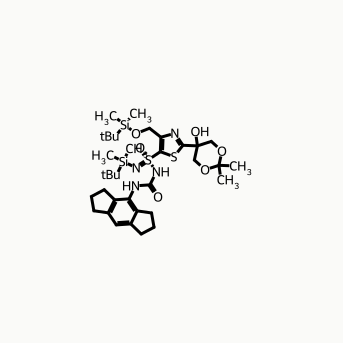 CC1(C)OCC(O)(c2nc(CO[Si](C)(C)C(C)(C)C)c(S(=O)(=N[Si](C)(C)C(C)(C)C)NC(=O)Nc3c4c(cc5c3CCC5)CCC4)s2)CO1